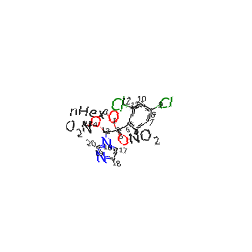 CCCCCCOC(O[N+](=O)[O-])(c1ccc(Cl)cc1Cl)C(O[N+](=O)[O-])n1ccnc1